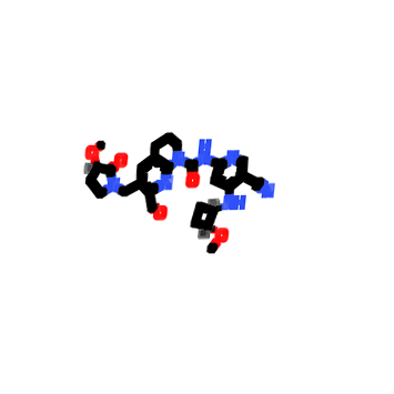 CO[C@@H]1CCN(Cc2cc3c(nc2C=O)N(C(=O)Nc2cc(N[C@H]4CC[C@H]4OC)c(C#N)cn2)CCC3)C1=O